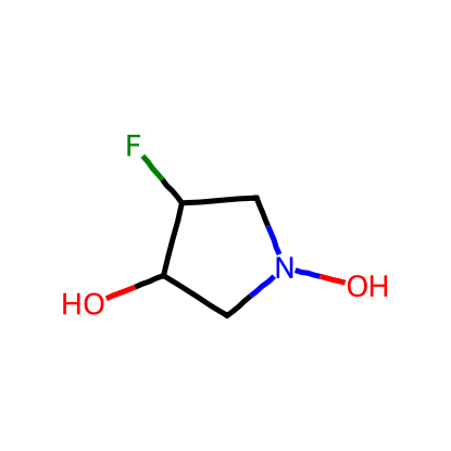 OC1CN(O)CC1F